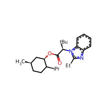 CCc1nc2ccccc2n1[C@@H](C(=O)O[C@@H]1C[C@H](C)CCC1C(C)C)C(C)(C)C